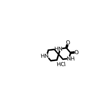 Cl.O=C1NCC2(CCNCC2)NC1=O